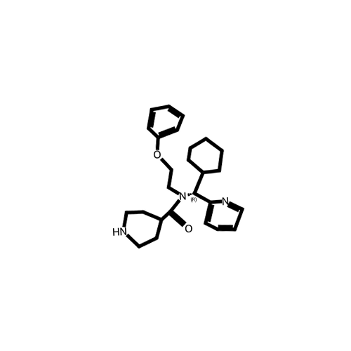 O=C(C1CCNCC1)N(CCOc1ccccc1)[C@@H](c1ccccn1)C1CCCCC1